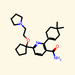 CC1(C)CC=C(c2nc(C3(OCCN4CCCC4)CCCC3)ccc2C(N)=O)CC1